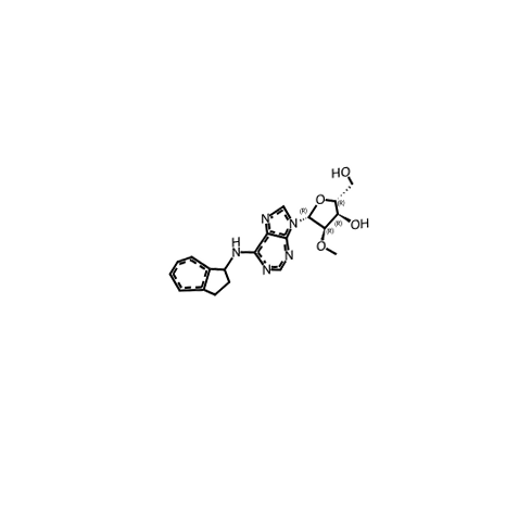 CO[C@@H]1[C@H](O)[C@@H](CO)O[C@H]1n1cnc2c(NC3CCc4ccccc43)ncnc21